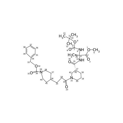 COC(=O)[C@@](C)(NC(=O)OC(C)(C)C)NC(=O)[C@@H]1CCCN(C(=O)CCC2CCN(C(=O)OCc3ccccc3)CC2)C1